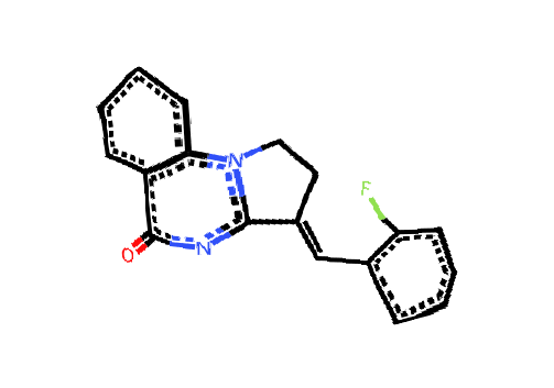 O=c1nc2n(c3ccccc13)CC/C2=C\c1ccccc1F